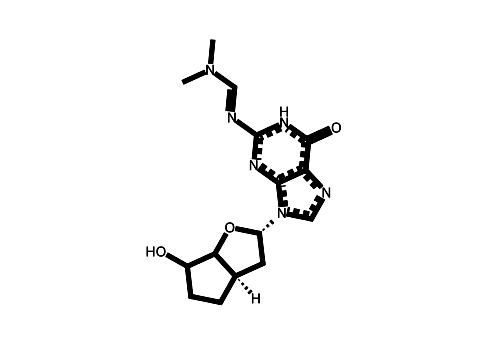 CN(C)/C=N/c1nc2c(ncn2[C@@H]2C[C@H]3CCC(O)C3O2)c(=O)[nH]1